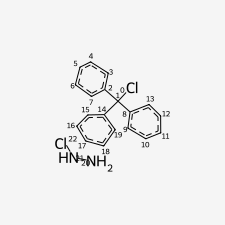 ClC(c1ccccc1)(c1ccccc1)c1ccccc1.NNCl